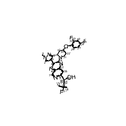 Cn1cc(-c2nc3cnc([C@@H](O)C(C)(C)F)cc3nc2N2CCC(Oc3ccc(F)cc3F)CC2)cn1